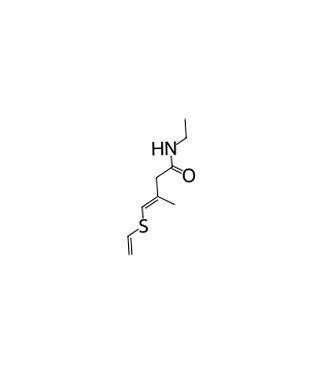 C=CS/C=C(\C)CC(=O)NCC